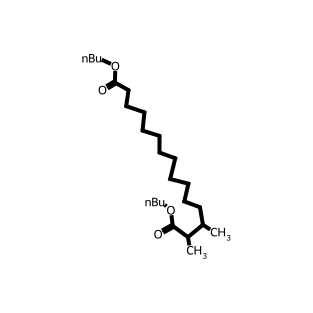 CCCCOC(=O)CCCCCCCCCCCC(C)C(C)C(=O)OCCCC